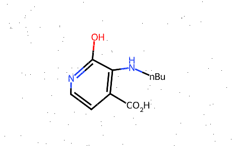 CCCCNc1c(C(=O)O)ccnc1O